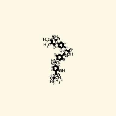 Cc1c(C)n(C)c(=O)n(-c2ccc(C[C@H](NC(=O)c3cc(F)c(NS(=O)(=O)c4ccc(C(=O)NC(C)(C)C)c(O)c4)cc3F)C(=O)O)cc2)c1=O